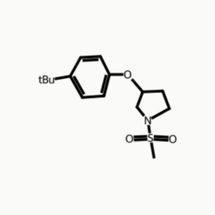 CC(C)(C)c1ccc(OC2CCN(S(C)(=O)=O)C2)cc1